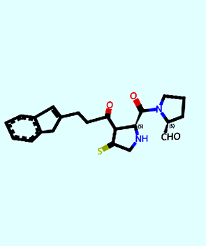 O=C[C@@H]1CCCN1C(=O)[C@H]1NCC(=S)C1C(=O)CCC1=Cc2ccccc2C1